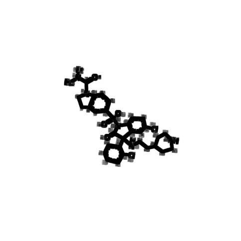 CCN(CC)C(=O)N1CCc2cc(S(=O)(=O)N3C(=O)C(NCCC4CCNCC4)(c4ccccc4Cl)c4cc(Cl)ccc43)ccc21